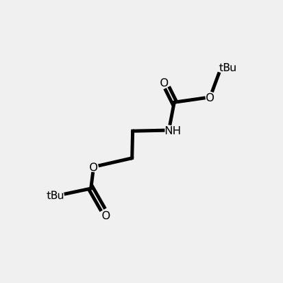 CC(C)(C)OC(=O)NCCOC(=O)C(C)(C)C